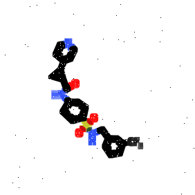 O=C(Nc1ccc(S(=O)(=O)NCc2cccc(C(F)(F)F)c2)cc1)C1CC1c1ccncc1